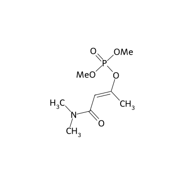 COP(=O)(OC)OC(C)=CC(=O)N(C)C